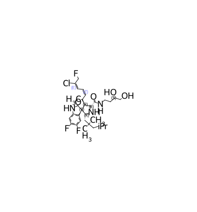 CC(C)CC(C)(C)C[C@H]1N[C@@H](C(=O)NCC[C@H](O)CO)[C@H](C(C)/C=C\C=C(\Cl)CF)[C@@]12C(=O)Nc1cc(F)c(F)cc12